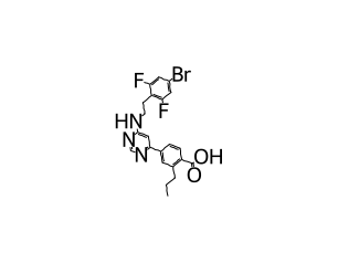 CCCc1cc(-c2cc(NCCc3c(F)cc(Br)cc3F)ncn2)ccc1C(=O)O